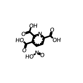 O=C(O)c1ccc(C(=O)O)c(C(=O)O)n1.O=NO